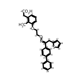 Cc1c(CC(=O)O)cccc1OCCO/N=C(\Cc1cccs1)c1ccc(-c2ccccc2)cc1